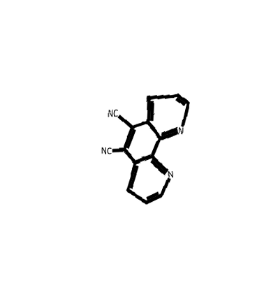 N#Cc1c(C#N)c2cccnc2c2ncccc12